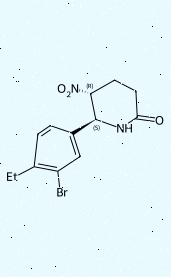 CCc1ccc([C@@H]2NC(=O)CC[C@H]2[N+](=O)[O-])cc1Br